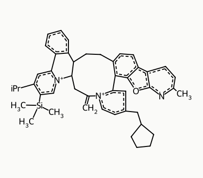 C=C1CC2C(CCc3ccc4c(oc5nc(C)ccc54)c3-c3cc(CC4CCCC4)cc[n+]31)c1ccccc1-c1cc(C(C)C)c([Si](C)(C)C)c[n+]12